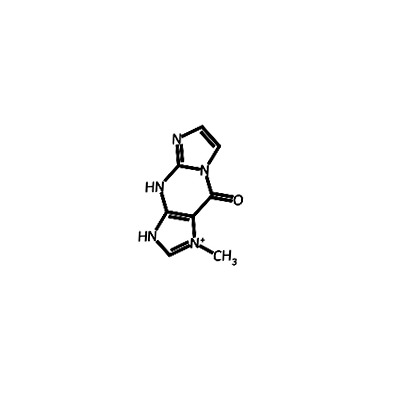 C[n+]1c[nH]c2[nH]c3nccn3c(=O)c21